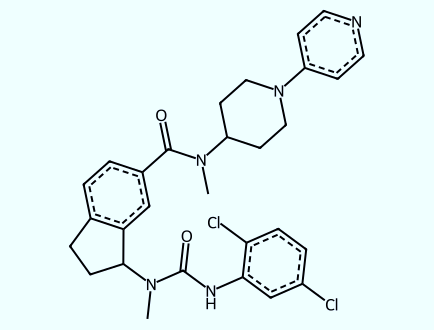 CN(C(=O)c1ccc2c(c1)C(N(C)C(=O)Nc1cc(Cl)ccc1Cl)CC2)C1CCN(c2ccncc2)CC1